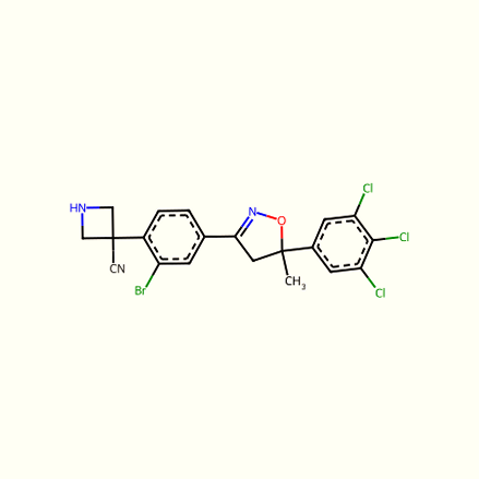 CC1(c2cc(Cl)c(Cl)c(Cl)c2)CC(c2ccc(C3(C#N)CNC3)c(Br)c2)=NO1